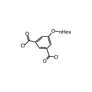 CCCCCCOc1cc(C(=O)Cl)cc(C(=O)Cl)c1